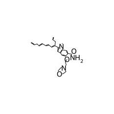 C=CCC=CC=CC=C(CC=C)c1cc2cc(OCCN3CCOCC3)c(C(N)=O)cc2n1C